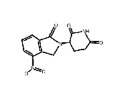 O=C1CC[C@@H](N2Cc3c(cccc3[N+](=O)[O-])C2=O)C(=O)N1